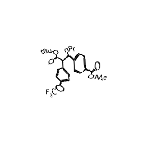 CCCC(c1ccc(C(=O)OC)cc1)C(C(=O)OC(C)(C)C)c1ccc(OC(F)(F)F)cc1